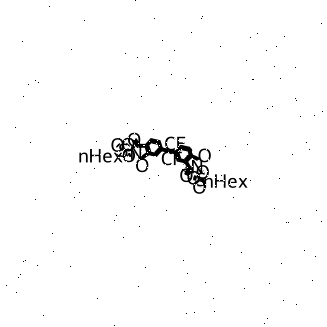 CCCCCCS(=O)(=O)ON1C(=O)c2ccc(C(c3ccc4c(c3)C(=O)N(OS(=O)(=O)CCCCCC)C4=O)(C(F)(F)F)C(F)(F)F)cc2C1=O